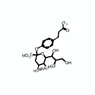 CC(=O)NC1C(O)CC(Oc2ccc(CCC(=O)C(F)(F)F)cc2)(C(=O)O)OC1C(O)C(O)CO